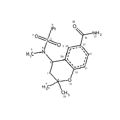 CC(C)S(=O)(=O)N(C)C1CC(C)(C)Oc2ccc(C(N)=O)cc21